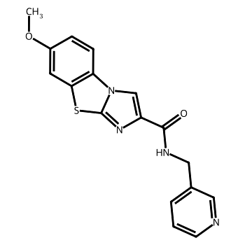 COc1ccc2c(c1)sc1nc(C(=O)NCc3cccnc3)cn12